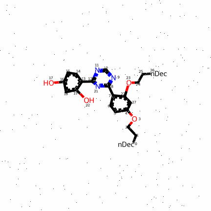 CCCCCCCCCCCCOc1ccc(-c2ncnc(-c3ccc(O)cc3O)n2)c(OCCCCCCCCCCCC)c1